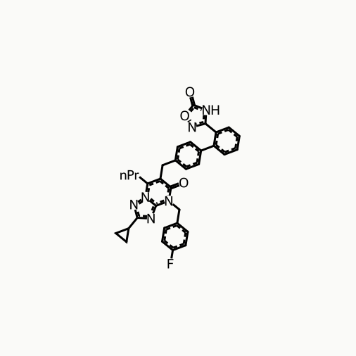 CCCc1c(Cc2ccc(-c3ccccc3-c3noc(=O)[nH]3)cc2)c(=O)n(Cc2ccc(F)cc2)c2nc(C3CC3)nn12